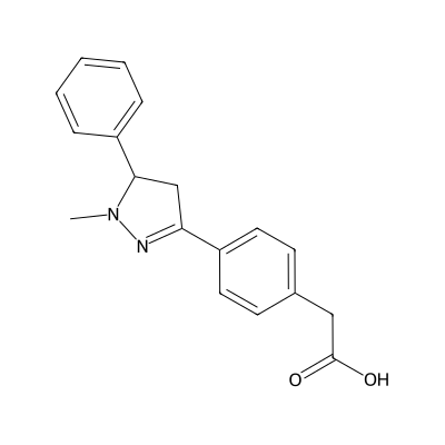 CN1N=C(c2ccc(CC(=O)O)cc2)CC1c1ccccc1